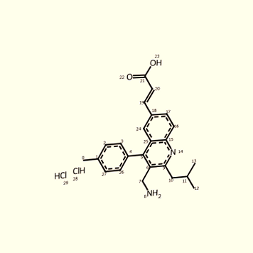 Cc1ccc(-c2c(CN)c(CC(C)C)nc3ccc(C=CC(=O)O)cc23)cc1.Cl.Cl